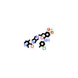 Cc1ccc(NC(=O)c2ccc(S(C)(=O)=O)cc2CCCN2CC3CN(C(=O)c4c(C)ccnc4C)CC3C2)cc1Cl